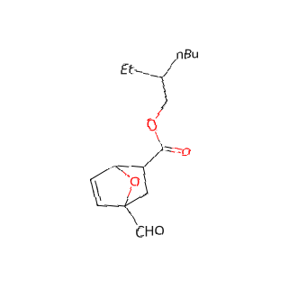 CCCCC(CC)COC(=O)C1CC2(C=O)C=CC1O2